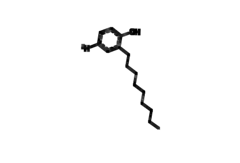 [2H]c1ccc(O)c(CCCCCCCCC)c1